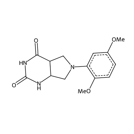 COc1ccc(OC)c(N2CC3NC(=O)NC(=O)C3C2)c1